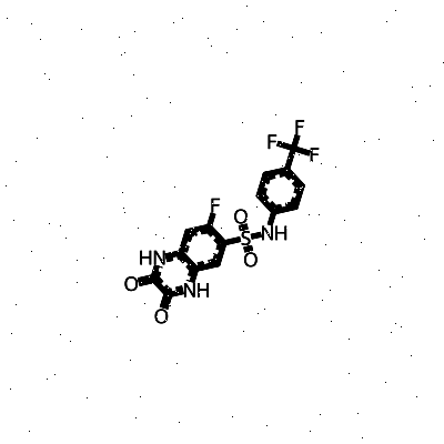 O=c1[nH]c2cc(F)c(S(=O)(=O)Nc3ccc(C(F)(F)F)cc3)cc2[nH]c1=O